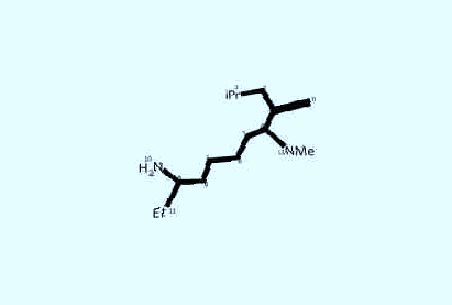 C=C(CC(C)C)C(CCCCC(N)CC)NC